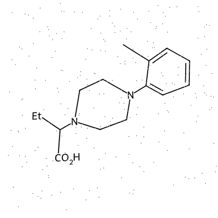 CCC(C(=O)O)N1CCN(c2ccccc2C)CC1